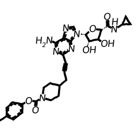 Nc1nc(C#CCC2CCN(C(=O)Oc3ccc(F)cc3)CC2)nc2c1ncn2[C@@H]1O[C@H](C(=O)NC2CC2)C(O)[C@@H]1O